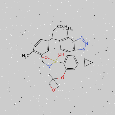 Cc1ccc(C(CC(=O)O)c2ccc3c(nnn3C3CC3)c2C)cc1CN1CC2(COC2)Oc2ccccc2S1(O)O